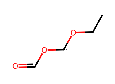 CCO[CH]OC=O